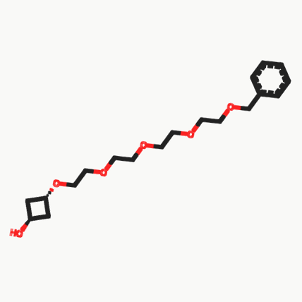 O[C@H]1C[C@H](OCCOCCOCCOCCOCc2ccccc2)C1